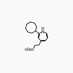 CCCCCCCCCCCCC1=CC=CNC(C2CCCCCCC2)=C1